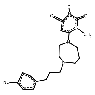 Cn1c(N2CCCN(CCCc3ccc(C#N)cc3)CC2)cc(=O)n(C)c1=O